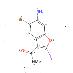 CNC(=O)c1c(I)oc2cc(N)c(Br)cc12